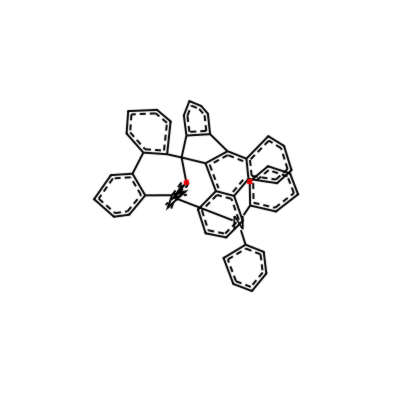 c1ccc(N(c2ccccc2)c2ccc3c(c2)C2(c4ccccc4-c4ccccc4-3)c3ccccc3-c3c2c2ccccc2c2ccccc32)cc1